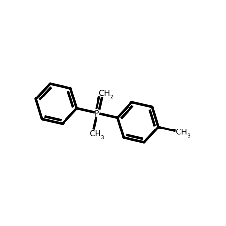 C=P(C)(c1ccccc1)c1ccc(C)cc1